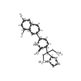 CCC(CC)(c1nnc[nH]1)c1ccc(-c2ccc3cc(F)cc(F)c3c2)[nH]c1=O